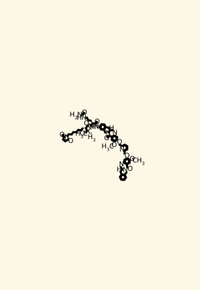 COc1cc2c(cc1OCc1cccc(COc3cc4c(cc3OC)C(=O)N3Cc5cc(NC(=O)[C@H](CCCNC(N)=O)NC(=O)[C@@H](CC(=O)CCCCCN6C(=O)C=CC6=O)C(C)C)ccc5C[C@H]3C=N4)n1)N=C[C@@H]1Cc3ccccc3CN1C2=O